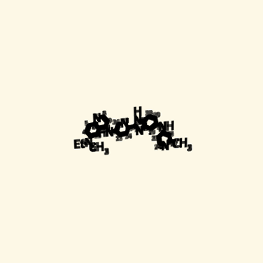 CCN(C)c1ccc2nccc(Nc3ccc(-c4nc5cc(Nc6ccnc(C)c6)ccc5[nH]4)nc3)c2c1